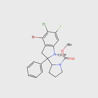 CC(C)(C)OC(=O)N1CCCC1C1(c2ccccc2)Cc2c(cc(F)c(Cl)c2Br)N1C(=O)O